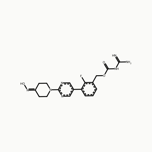 N=C(N)NC(=O)OCc1cccc(-c2cnc(N3CCC(=NO)CC3)nc2)c1F